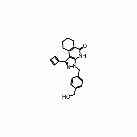 O=c1[nH]c2c(c(C3=CC=C3)nn2Cc2ccc(CO)cc2)c2c1CCCC2